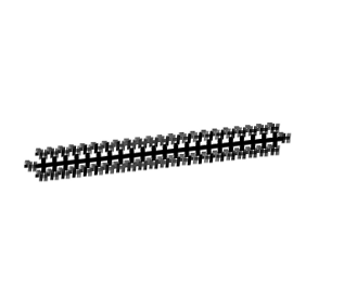 [2H]C([2H])([2H])C([2H])([2H])C([2H])([2H])C([2H])([2H])C([2H])([2H])C([2H])([2H])C([2H])([2H])C([2H])([2H])C([2H])([2H])C([2H])([2H])C([2H])([2H])C([2H])([2H])C([2H])([2H])C([2H])([2H])C([2H])([2H])C([2H])([2H])C([2H])([2H])C([2H])([2H])C([2H])([2H])C([2H])([2H])C([2H])([2H])C([2H])([2H])[2H]